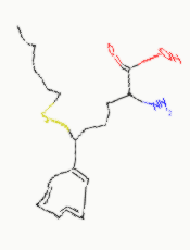 CCCCSC(CCC(N)C(=O)O)c1ccccc1